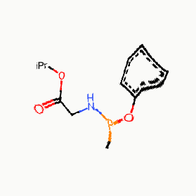 CC(C)OC(=O)CNP(C)Oc1ccccc1